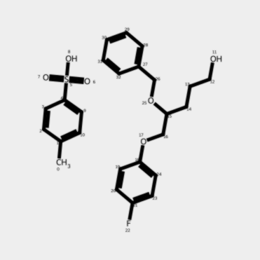 Cc1ccc(S(=O)(=O)O)cc1.OCCCC(COc1ccc(F)cc1)OCc1ccccc1